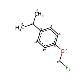 CC(C)c1ccc(OCF)cc1